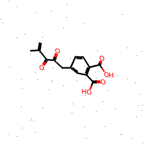 C=C(C)C(=O)C(=O)Cc1ccc(C(=O)O)c(C(=O)O)c1